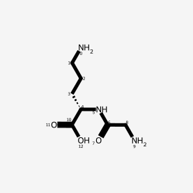 NCCC[C@H](NC(=O)CN)C(=O)O